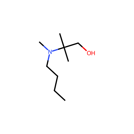 CCCCN(C)C(C)(C)CO